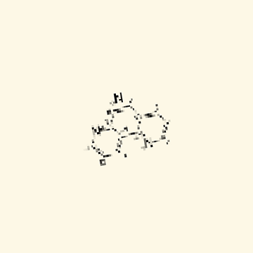 [Ni].c1cnc2c(c1)ccc1ncccc12